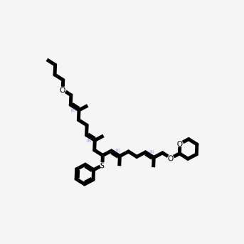 CCCCOC/C=C(\C)CC/C=C(\C)CC(/C=C(\C)CC/C=C(\C)COC1CCCCO1)Sc1ccccc1